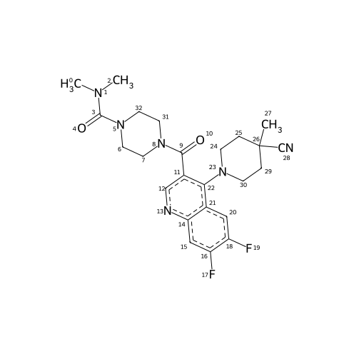 CN(C)C(=O)N1CCN(C(=O)c2cnc3cc(F)c(F)cc3c2N2CCC(C)(C#N)CC2)CC1